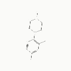 Cc1cnc(N2CCN(C=O)CC2)c(C)n1